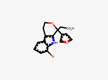 O=C(O)CC1(c2ccoc2)OCCc2c1[nH]c1c(Br)cccc21